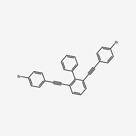 Brc1ccc(C#Cc2cccc(C#Cc3ccc(Br)cc3)c2-c2ccccc2)cc1